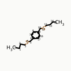 CCCCSCc1ccc(CSCCCC)cc1